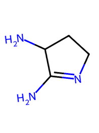 NC1=NCCC1N